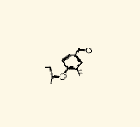 CCC(C)Oc1ccc(C=O)cc1F